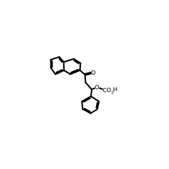 O=C(O)OC(CC(=O)c1ccc2ccccc2c1)c1ccccc1